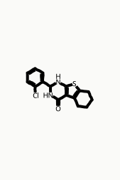 O=C1NC(c2ccccc2Cl)Nc2sc3c(c21)CCCC3